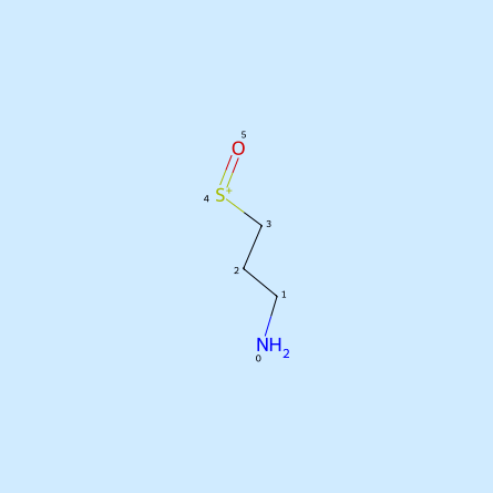 NCCC[S+]=O